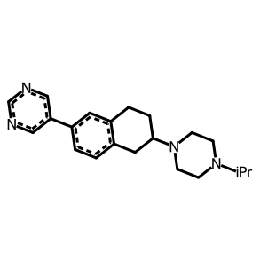 CC(C)N1CCN(C2CCc3cc(-c4cncnc4)ccc3C2)CC1